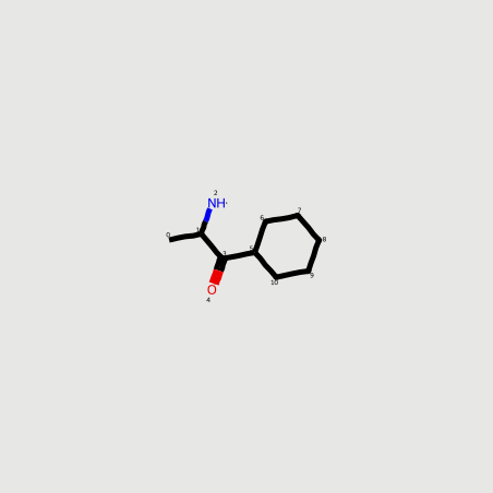 CC([NH])C(=O)C1CCCCC1